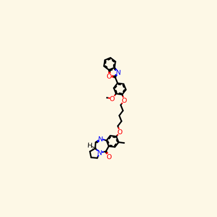 COc1cc(-c2nc3ccccc3o2)ccc1OCCCCCOc1cc2c(cc1C)C(=O)N1CCC[C@H]1C=N2